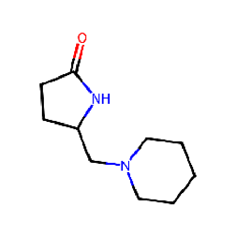 O=C1CCC(CN2CCCCC2)N1